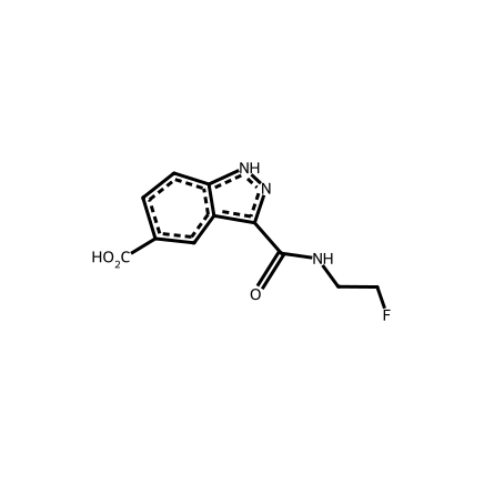 O=C(O)c1ccc2[nH]nc(C(=O)NCCF)c2c1